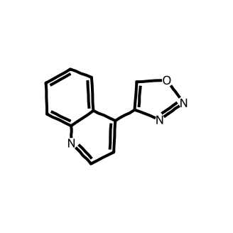 c1ccc2c(-c3conn3)ccnc2c1